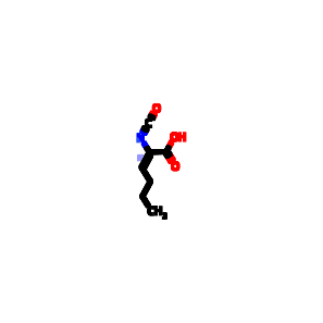 CCC/C=C(/N=C=O)C(=O)O